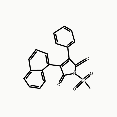 CS(=O)(=O)N1C(=O)C(c2ccccc2)=C(c2cccc3ccccc23)C1=O